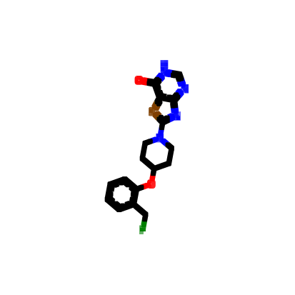 O=c1[nH]cnc2nc(N3CCC(Oc4ccccc4CF)CC3)sc12